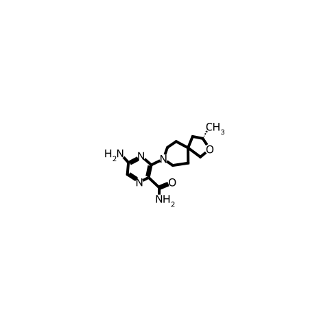 C[C@H]1CC2(CCN(c3nc(N)cnc3C(N)=O)CC2)CO1